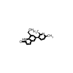 Cc1ccc(-c2cc(CO)c3[nH]c(=O)ccc3c2)c(C)n1